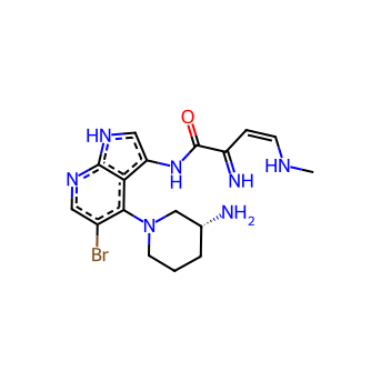 CN/C=C\C(=N)C(=O)Nc1c[nH]c2ncc(Br)c(N3CCC[C@@H](N)C3)c12